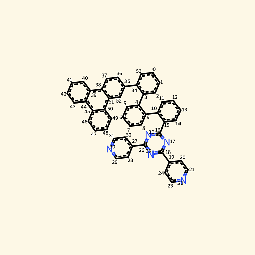 c1ccc(-c2ccccc2-c2ccccc2-c2nc(-c3ccncc3)nc(-c3ccncc3)n2)c(-c2ccc3c4ccccc4c4ccccc4c3c2)c1